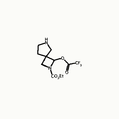 CCOC(=O)N1CC2(CCNC2)C1OC(=O)C(F)(F)F